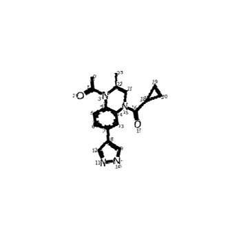 CC(=O)N1c2ccc(C3=C[N]N=C3)cc2N(C(=O)C2CC2)C[C@@H]1C